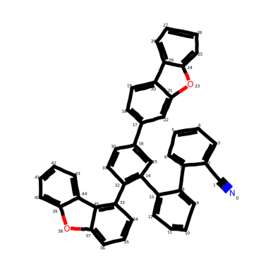 N#Cc1ccccc1-c1ccccc1-c1cc(-c2ccc3c(c2)oc2ccccc23)ccc1-c1cccc2oc3ccccc3c12